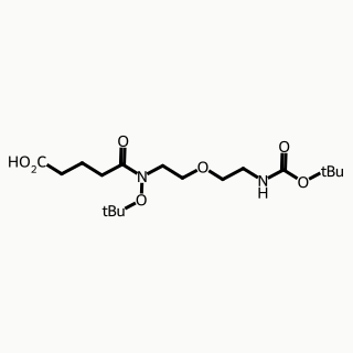 CC(C)(C)OC(=O)NCCOCCN(OC(C)(C)C)C(=O)CCCC(=O)O